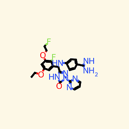 CCOc1cc(OCCF)c(F)c(C(Nc2ccc(C(=N)N)cc2)c2nn(-c3ncccn3)c(=O)[nH]2)c1